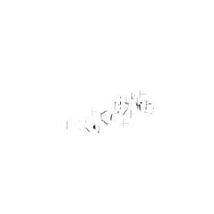 Cc1cnc(-c2cc(O)c(-c3ccc(N(C)[C@@H]4CC5CCC(N5)[C@@H]4F)nn3)cc2F)o1